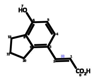 O=C(O)/C=C/c1ccc(O)c2c1CCC2